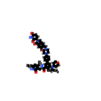 CCN(c1cc(-c2ccc(N3CCN(Cc4cc5c(cc4Br)C(=O)N(C4CCC(=O)NC4=O)C5)CC3)cc2)cc(C(=O)NCc2c(C)cc(C)[nH]c2=O)c1C)C1CCOCC1